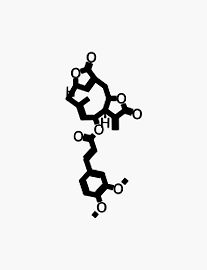 C=C1C(=O)OC2CC3=C[C@@H](C/C(C)=C/C(OC(=O)/C=C/c4ccc(OC)c(OC)c4)[C@H]12)OC3=O